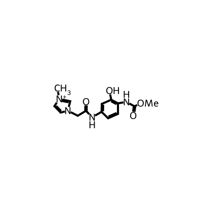 COC(=O)Nc1ccc(NC(=O)Cn2cc[n+](C)c2)cc1O